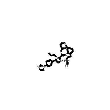 CCCn1c(-c2ccc(-n3ccnc3)cc2)cnc1[C@H](Cc1ccncc1)n1c(NC=O)cc2ccccc21